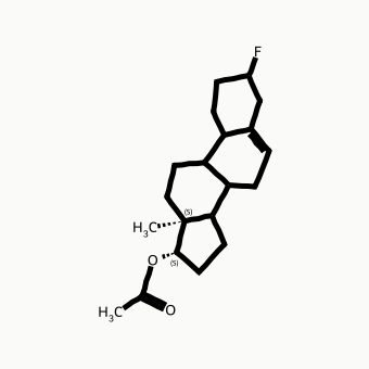 CC(=O)O[C@H]1CCC2C3CC=C4CC(F)CCC4C3CC[C@@]21C